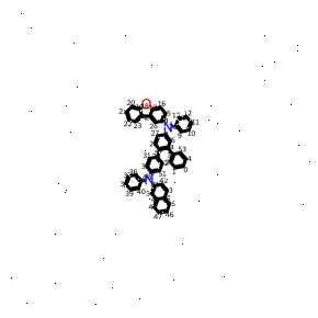 c1ccc(-c2cc(N(c3ccccc3)c3ccc4oc5ccccc5c4c3)ccc2-c2ccc(N(c3ccccc3)c3ccc4ccccc4c3)cc2)cc1